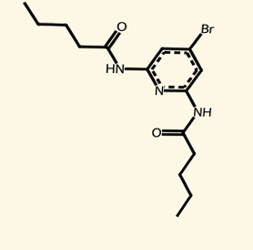 CCCCC(=O)Nc1cc(Br)cc(NC(=O)CCCC)n1